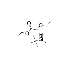 CCOCC(=O)OCC.C[SiH](C)C(C)(C)C